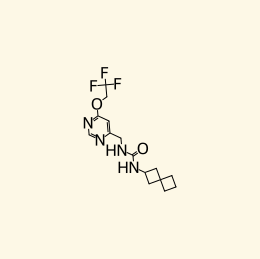 O=C(NCc1cc(OCC(F)(F)F)ncn1)NC1CC2(CCC2)C1